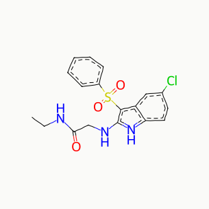 CCNC(=O)CNc1[nH]c2ccc(Cl)cc2c1S(=O)(=O)c1ccccc1